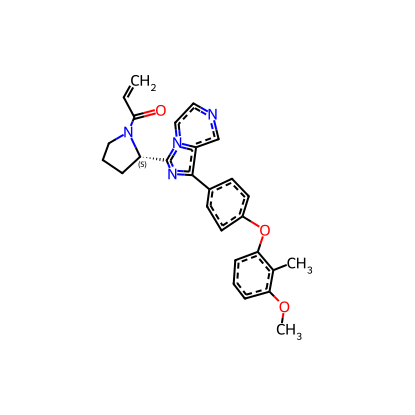 C=CC(=O)N1CCC[C@H]1c1nc(-c2ccc(Oc3cccc(OC)c3C)cc2)c2cnccn12